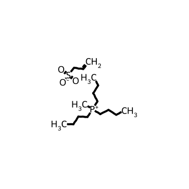 C=CCS(=O)(=O)[O-].CCCC[P+](C)(CCCC)CCCC